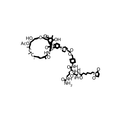 CC(=O)O[C@@H]1[C@H](C)[C@@H](O)/C=C/O[C@@]2(C)Oc3c(C)c(O)c4c(=O)c(c5sc6cc(N7CCN(C(=O)OCc8ccc(NC(=O)[C@H](CCCNC(N)=O)NC(=O)[C@@H](NC(=O)CCCCCN9C(=O)C=CC9=O)C(C)C)cc8)CC7)ccc6nc-5c4c3C2=O)NC(=O)/C(C)=C\C=C\[C@H](C)C[C@@H](C)C[C@H]1C